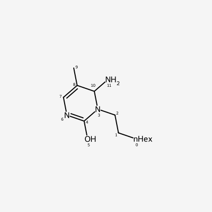 CCCCCCCCN1C(O)=NC=C(C)C1N